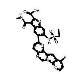 CCS(=O)(=O)Nc1cc2oc(C(=O)O)c(C(=O)NC)c2cc1-c1ccc2ncn3c4cccc(F)c4cc3c2n1